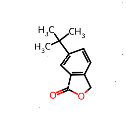 CC(C)(C)c1ccc2c(c1)C(=O)OC2